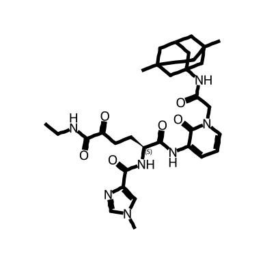 CCNC(=O)C(=O)CC[C@H](NC(=O)c1cn(C)cn1)C(=O)Nc1cccn(CC(=O)NC23CC4CC(C)(CC(C)(C4)C2)C3)c1=O